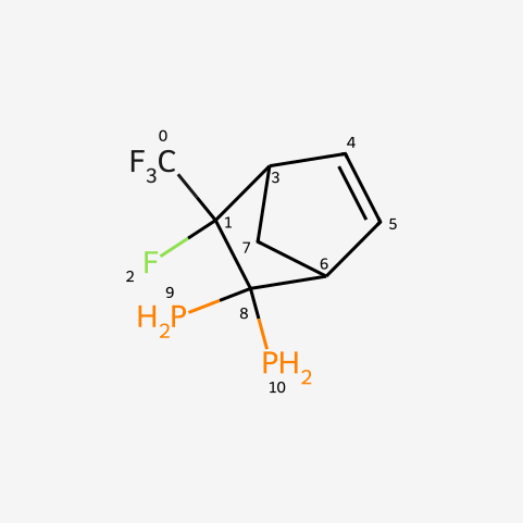 FC(F)(F)C1(F)C2C=CC(C2)C1(P)P